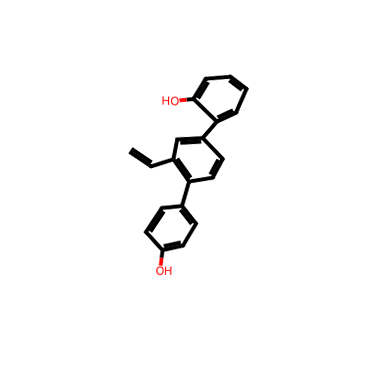 C=Cc1cc(-c2ccccc2O)ccc1-c1ccc(O)cc1